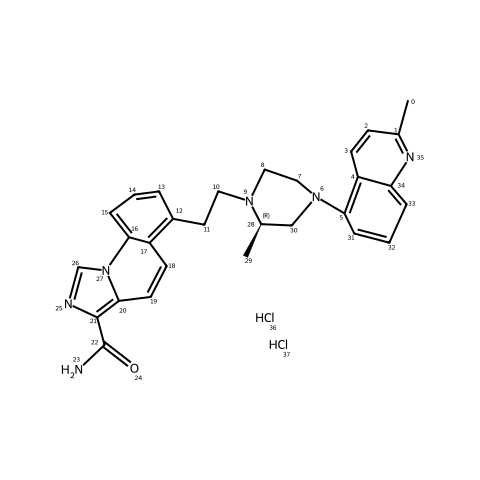 Cc1ccc2c(N3CCN(CCc4cccc5c4ccc4c(C(N)=O)ncn45)[C@H](C)C3)cccc2n1.Cl.Cl